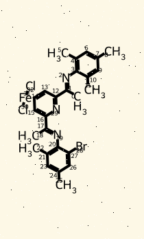 CC(=Nc1c(C)cc(C)cc1C)c1cccc(C(C)=Nc2c(C)cc(C)cc2Br)n1.[Cl][Fe][Cl]